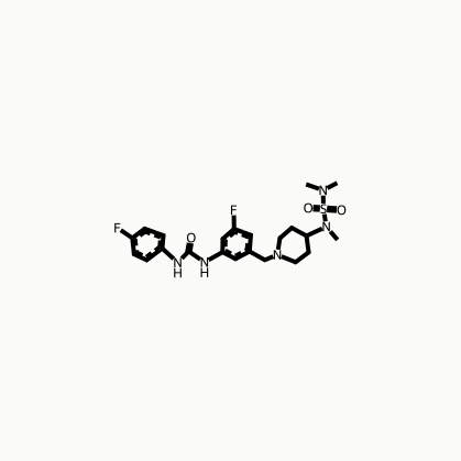 CN(C)S(=O)(=O)N(C)C1CCN(Cc2cc(F)cc(NC(=O)Nc3ccc(F)cc3)c2)CC1